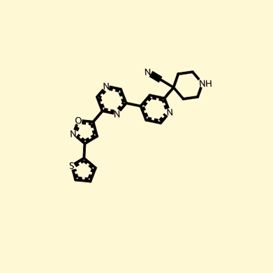 N#CC1(c2cc(-c3cncc(-c4cc(-c5cccs5)no4)n3)ccn2)CCNCC1